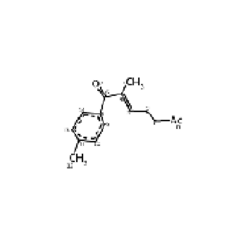 CC(=O)CCC=C(C)C(=O)c1ccc(C)cc1